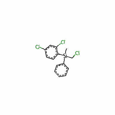 C[Si](CCl)(c1ccccc1)c1ccc(Cl)cc1Cl